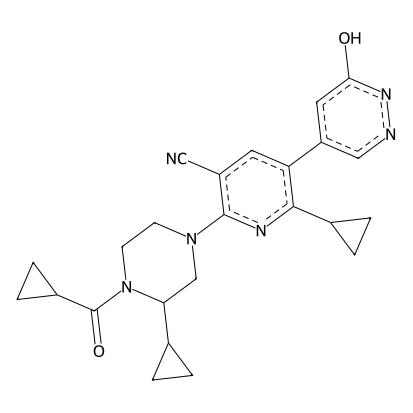 N#Cc1cc(-c2cnnc(O)c2)c(C2CC2)nc1N1CCN(C(=O)C2CC2)C(C2CC2)C1